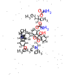 CCCC(C)(COC(N)=O)COC(N)=O.CCN(CC)CCOC(=O)C(O)(c1ccccc1)c1ccccc1.COc1ccc2c(c1)[C@]13CCCC[C@@H]1[C@H](C2)N(C)CC3